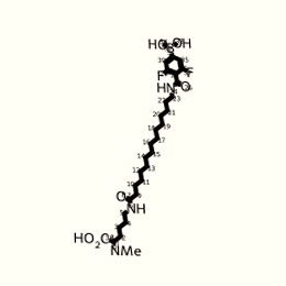 CN[C@@H](CCCCNC(=O)CCCCCCCCCCCCCCCNC(=O)c1c(F)cc(B(O)O)cc1F)C(=O)O